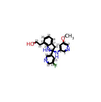 COc1cncc(NC2(c3cncc(F)c3)Cc3cccc(CCO)c3N2)c1